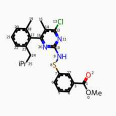 COC(=O)c1cccc(SNc2nc(Cl)c(C)c(-c3c(C)cccc3CC(C)C)n2)c1